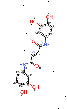 O=C(/C=C/C(=O)Nc1ccc(O)c(O)c1)Nc1ccc(O)c(O)c1